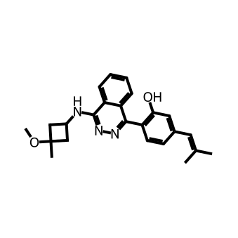 COC1(C)CC(Nc2nnc(-c3ccc(C=C(C)C)cc3O)c3ccccc23)C1